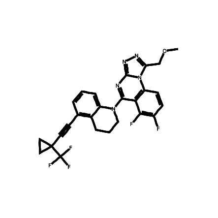 COCc1nnc2nc(N3CCCc4c(C#CC5(C(F)(F)F)CC5)cccc43)c3c(F)c(F)ccc3n12